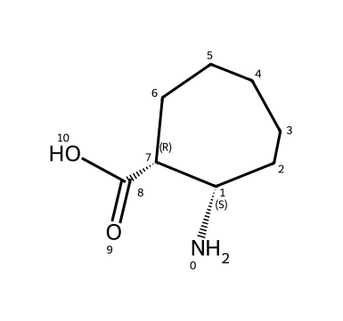 N[C@H]1CCCCC[C@H]1C(=O)O